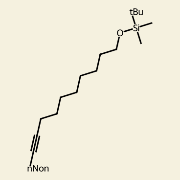 CCCCCCCCCC#CCCCCCCCCO[Si](C)(C)C(C)(C)C